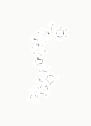 O=C1CCC(N2C(=O)c3cccc(NCc4cnn(C5CCN(C(=O)C6CCN(C(=O)c7ccccc7)CC6)CC5)c4)c3C2=O)C(=O)N1